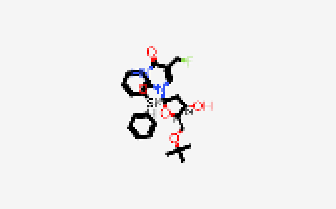 CC(C)(C)OC[C@H]1O[C@](n2cc(CF)c(=O)[nH]c2=O)([SiH](c2ccccc2)c2ccccc2)C[C@@H]1O